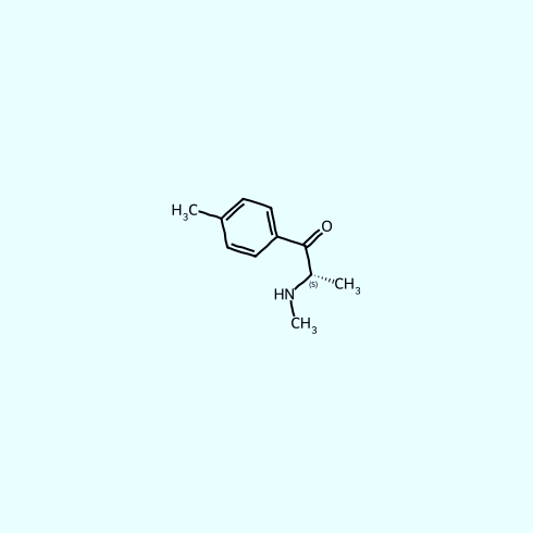 CN[C@@H](C)C(=O)c1ccc(C)cc1